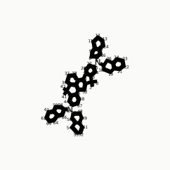 CC1(C)c2cc(N(c3ccc4ccccc4c3)C3C=Cc4ccccc4C3)ccc2-c2c1cc1c3c(cccc23)C(C)(C)c2cc(N(C3=CCC4C=CC=CC4=C3)c3ccc4ccccc4c3)ccc2-1